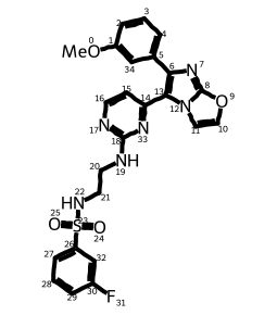 COc1cccc(-c2nc3occn3c2-c2ccnc(NCCNS(=O)(=O)c3cccc(F)c3)n2)c1